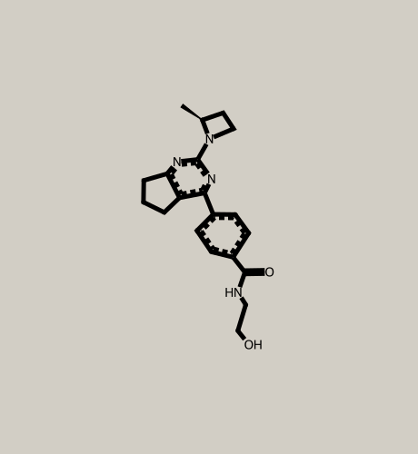 C[C@H]1CCN1c1nc2c(c(-c3ccc(C(=O)NCCO)cc3)n1)CCC2